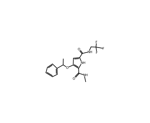 CNC(=O)c1[nH]c(C(=O)NCC(F)(F)F)cc1OC(C)c1ccccc1